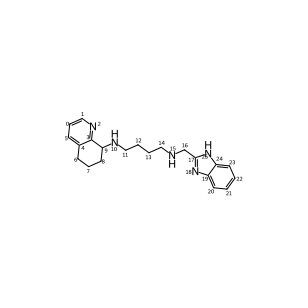 c1cnc2c(c1)CCCC2NCCCCNCc1nc2ccccc2[nH]1